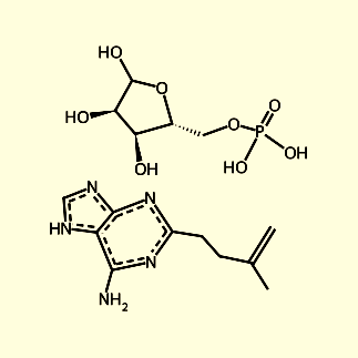 C=C(C)CCc1nc(N)c2[nH]cnc2n1.O=P(O)(O)OC[C@H]1OC(O)[C@H](O)[C@@H]1O